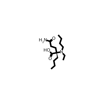 CCCCN(CC)[C@@](CCCC)(CCC(N)=O)C(=O)O